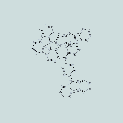 c1ccc(-c2ccc(N(c3ccc(-n4c5ccccc5c5ccccc54)cc3)c3cccc4c3-n3c(nc5ccccc53)C43c4ccccc4-c4ccccc43)cc2)cc1